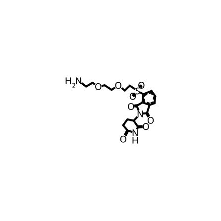 NCCOCCOCCS(=O)(=O)c1cccc2c1C(=O)N(C1CCC(=O)NC1=O)C2=O